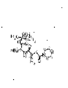 CCCC[C@H](NC(=O)[C@H](N)CC(=O)N1CCOCC1)B1OC(C)(C)C(C)(C)O1